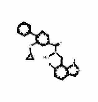 CN(Cc1c(F)ccc2cn[nH]c12)C(=O)c1ccc(-c2ccccc2)c(OC2CC2)c1